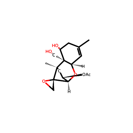 CC(=O)O[C@@H]1C[C@]2(C)[C@@]3(CO)[C@H](O)CC(C)=C[C@H]3O[C@H]1[C@@]21CO1